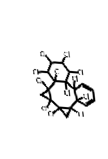 ClC1C(Cl)C(Cl)C2(Cl)C3(Cl)CC3(Cl)C3(Cl)CC3(Cl)C3(Cl)C=CC=CC3(Cl)C2(Cl)C1Cl